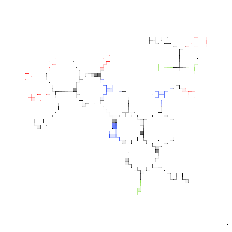 CCC1(O)C(=O)OCc2c1cc1n(c2=O)Cc2c-1nc1cc(F)c(C)c3c1c2C(NC(=O)C(F)(F)C(C)O)CC3